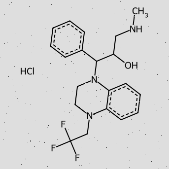 CNCC(O)C(c1ccccc1)N1CCN(CC(F)(F)F)c2ccccc21.Cl